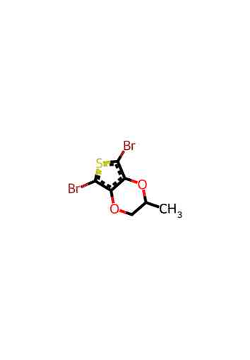 CC1COc2c(Br)sc(Br)c2O1